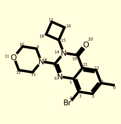 Cc1cc(Br)c2nc(N3CCOCC3)n(C3CCC3)c(=O)c2c1